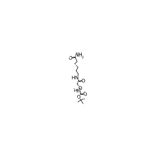 CC(C)(C)OC(=O)NOCC(=O)NCCCCCC(N)=O